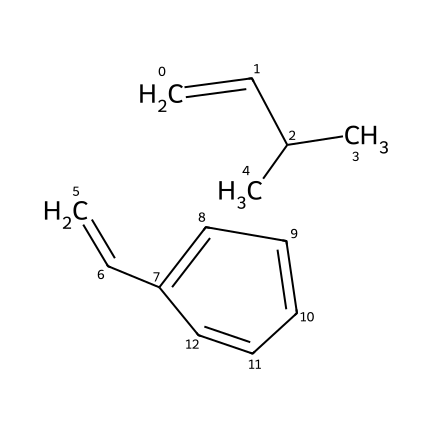 C=CC(C)C.C=Cc1ccccc1